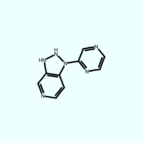 c1cnc(N2NNc3cnccc32)cn1